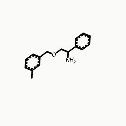 Cc1cccc(COCC(N)c2ccccc2)c1